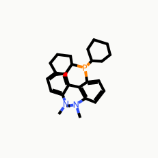 CN(C)c1ccccc1-c1c(N(C)C)cccc1P(C1CCCCC1)C1CCCCC1